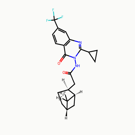 CC1(C)[C@H]2CC[C@@H](CC(=O)Nn3c(C4CC4)nc4cc(C(F)(F)F)ccc4c3=O)[C@H]1C2